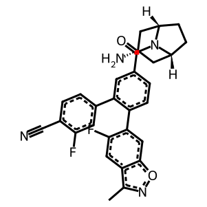 Cc1noc2cc(-c3ccc(C(=O)N4[C@@H]5CC[C@H]4C[C@@H](N)C5)cc3-c3ccc(C#N)c(F)c3)c(F)cc12